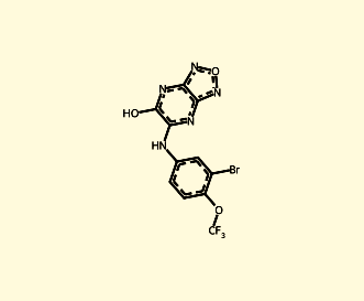 Oc1nc2nonc2nc1Nc1ccc(OC(F)(F)F)c(Br)c1